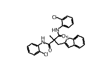 CC(Cc1cc2ccccc2s1)(C(=O)Nc1ccccc1Cl)C(=O)Nc1ccccc1Cl